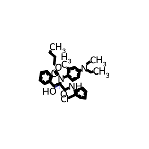 CCCCOC(=O)N(/C(C(=O)Nc1ccccc1Cl)=C(/O)c1ccccc1)c1ccc(N(CC)CC)cc1C